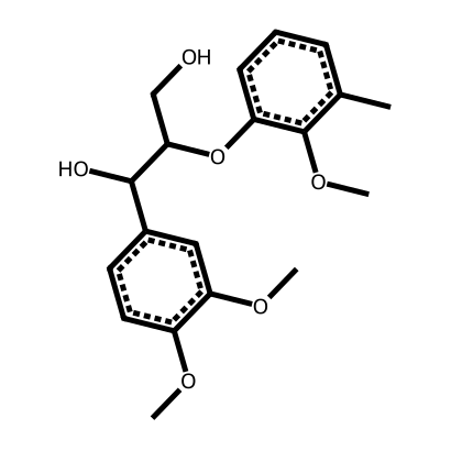 COc1ccc(C(O)C(CO)Oc2cccc(C)c2OC)cc1OC